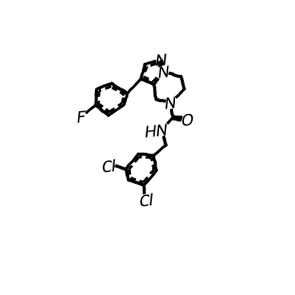 O=C(NCc1cc(Cl)cc(Cl)c1)N1CCn2ncc(-c3ccc(F)cc3)c2C1